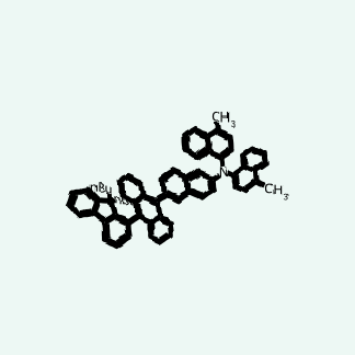 CCCCC1(CCCC)c2ccccc2-c2cccc(-c3c4ccccc4c(-c4ccc5cc(N(c6ccc(C)c7ccccc67)c6ccc(C)c7ccccc67)ccc5c4)c4ccccc34)c21